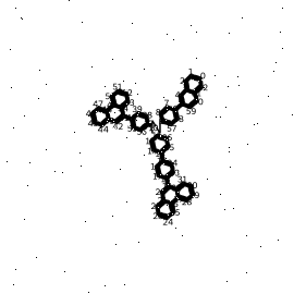 c1ccc2cc(-c3ccc(N(c4ccc(-c5ccc(-c6cc7ccccc7c7ccccc67)cc5)cc4)c4ccc(-c5cc6ccccc6c6ccccc56)cc4)cc3)ccc2c1